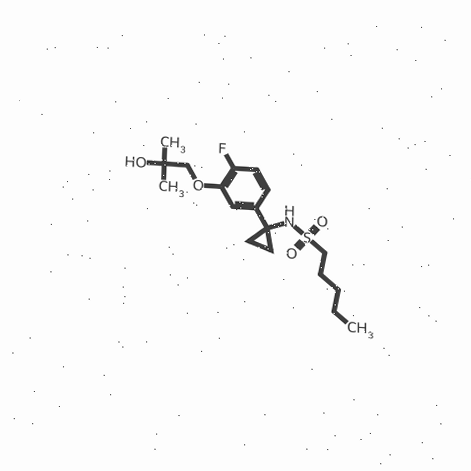 CCCCCS(=O)(=O)NC1(c2ccc(F)c(OCC(C)(C)O)c2)CC1